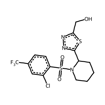 O=S(=O)(c1ccc(C(F)(F)F)cc1Cl)N1CCCCC1c1nnc(CO)s1